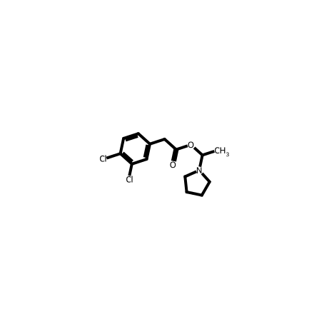 CC(OC(=O)Cc1ccc(Cl)c(Cl)c1)N1CCCC1